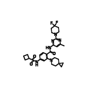 Cc1cc(NC(=O)c2ccc(NS(=O)(=O)C3CCC3)cc2N2CCC3(CC2)CC3)nc(N2CCC(F)(F)CC2)n1